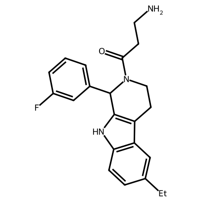 CCc1ccc2[nH]c3c(c2c1)CCN(C(=O)CCN)C3c1cccc(F)c1